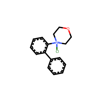 Cl[N+]1(c2ccc[c]c2-c2ccccc2)CCOCC1